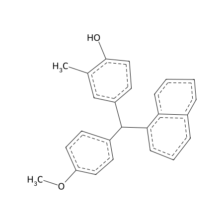 COc1ccc(C(c2ccc(O)c(C)c2)c2cccc3ccccc23)cc1